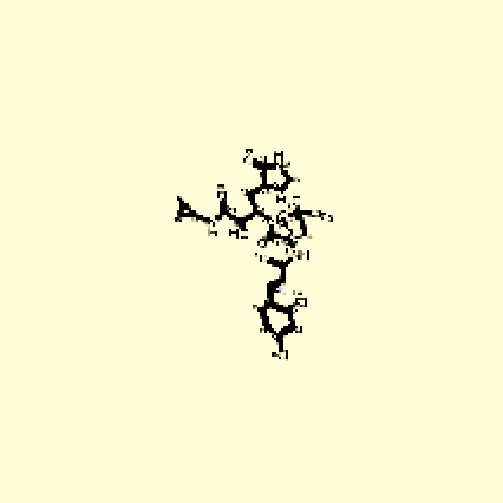 CC(C)(C)C[C@H](NC(=O)/C=C/c1ccc(Cl)cc1Cl)C(=O)NC(CC1CCNC1=O)C(O)C(=O)NC1CC1